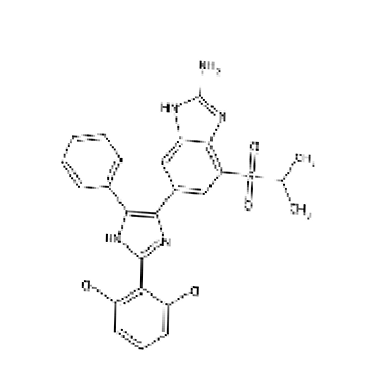 CC(C)S(=O)(=O)c1cc(-c2nc(-c3c(Cl)cccc3Cl)[nH]c2-c2ccccc2)cc2[nH]c(N)nc12